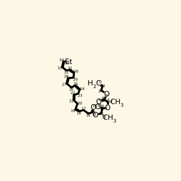 C=CCOC(=O)[C@H](C)OC(=O)[C@H](C)OC(=O)CC/C=C\C/C=C\C/C=C\C/C=C\C/C=C\C/C=C\CC